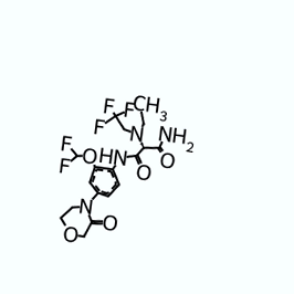 CCN(CC(F)(F)F)[C@@H](C(N)=O)C(=O)Nc1ccc(N2CCOCC2=O)cc1OC(F)F